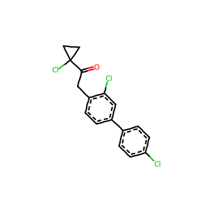 O=C(Cc1ccc(-c2ccc(Cl)cc2)cc1Cl)C1(Cl)CC1